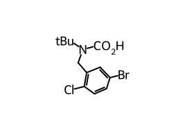 CC(C)(C)N(Cc1cc(Br)ccc1Cl)C(=O)O